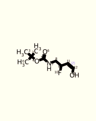 CC(C)(C)OC(=O)NCC(F)/C=C\O